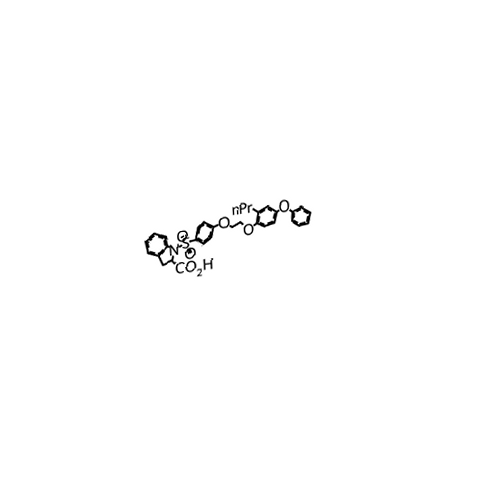 CCCc1cc(Oc2ccccc2)ccc1OCCOc1ccc(S(=O)(=O)N2c3ccccc3C[C@@H]2C(=O)O)cc1